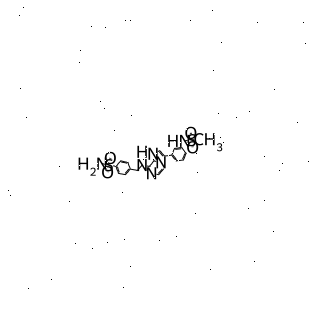 CS(=O)(=O)Nc1cccc(-c2cnc3c(NCc4ccc(S(N)(=O)=O)cc4)nccn23)c1